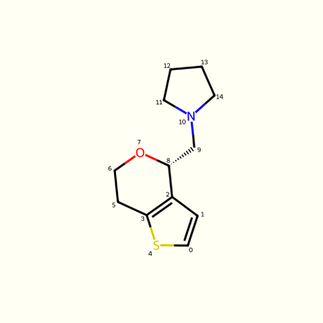 c1cc2c(s1)CCO[C@@H]2CN1CCCC1